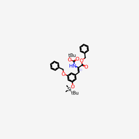 CC(C)(C)OC(=O)N/C(=C\c1cc(OCc2ccccc2)cc(O[Si](C)(C)C(C)(C)C)c1)C(=O)OCc1ccccc1